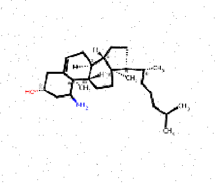 CC(C)CCC[C@@H](C)[C@H]1CC[C@H]2[C@@H]3CC=C4C[C@@H](O)CC(N)[C@]4(C)[C@H]3CC[C@]12C